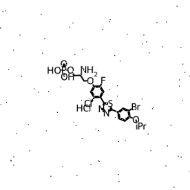 CC(C)Oc1ccc(-c2nnc(-c3cc(F)c(OCC(N)COP(=O)(O)O)cc3Cl)s2)cc1Br.Cl